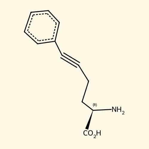 N[C@H](CCC#Cc1ccccc1)C(=O)O